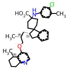 Cc1ccc(NC2(C(=O)O)CCC3(CC2)c2ccccc2C[C@@H]3C[C@@H](C)COc2ccnc3c2[C@H](C)CCC3)cc1Cl